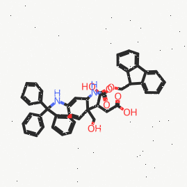 O=C(O)CC(C(=O)O)C1(CO)C=CC(NC(c2ccccc2)(c2ccccc2)c2ccccc2)=CC1NC(=O)OCC1c2ccccc2-c2ccccc21